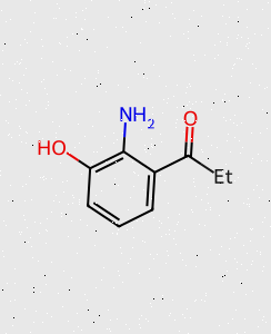 CCC(=O)c1cccc(O)c1N